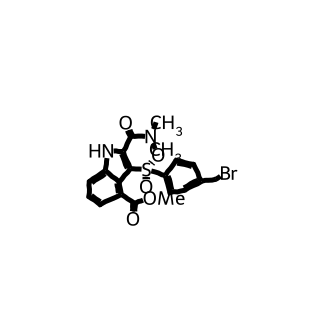 COC(=O)c1cccc2[nH]c(C(=O)N(C)C)c(S(=O)(=O)c3ccc(CBr)cc3)c12